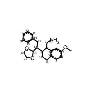 COc1ccc2c(c1)C(CN)C(C(Cc1ccccc1)C1OCCO1)CC2